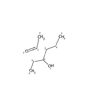 CC=O.CCCC(O)CC